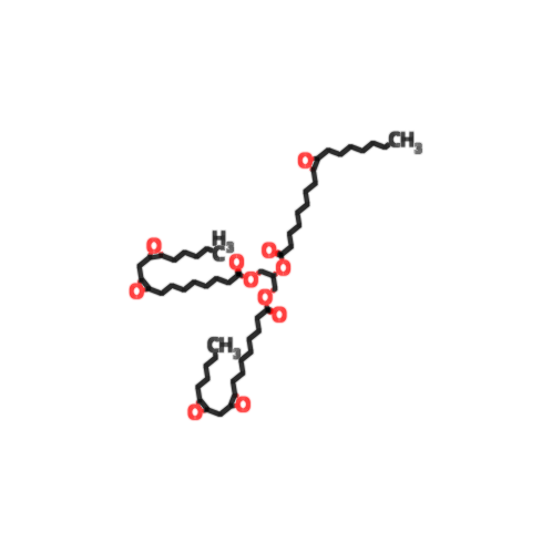 CCCCCCCC1OC1CCCCCCCC(=O)OC(COC(=O)CCCCCCCC1OC1CC1OC1CCCCC)COC(=O)CCCCCCCC1OC1CC1OC1CCCCC